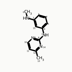 CNc1cccc(Nc2nccc(C)n2)c1